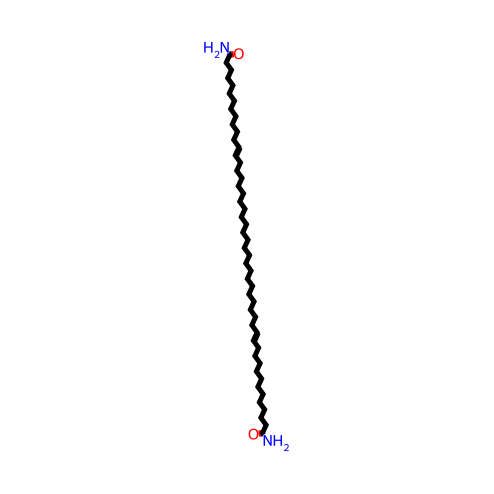 NC(=O)CCCCCCCCCCCC=CCCCCCCCCCCCCCCCCCCCCCCC=CCCCCCCCCCCCC(N)=O